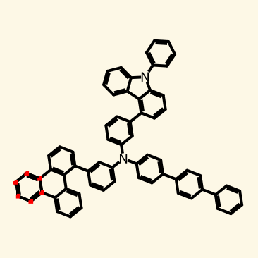 C1=CC(c2cccc(-c3cccc(N(c4ccc(-c5ccc(-c6ccccc6)cc5)cc4)c4cccc(-c5cccc6c5c5ccccc5n6-c5ccccc5)c4)c3)c2-c2ccccc2-c2ccccc2)=CCC1